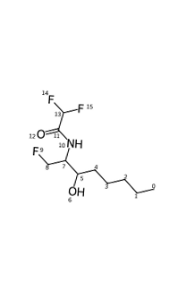 CCCCCC(O)C(CF)NC(=O)C(F)F